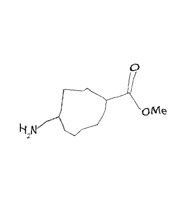 COC(=O)C1CCC(N)CC1